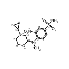 CN(c1ccc(S(N)(=O)=O)cc1[N+](=O)[O-])[C@@H]1CN(C2CC2)CCO1